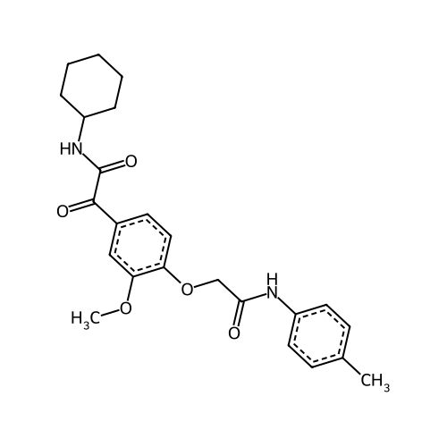 COc1cc(C(=O)C(=O)NC2CCCCC2)ccc1OCC(=O)Nc1ccc(C)cc1